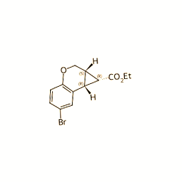 CCOC(=O)[C@H]1[C@H]2COc3ccc(Br)cc3[C@H]21